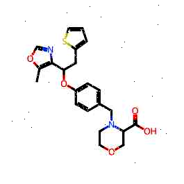 Cc1ocnc1C(Cc1cccs1)Oc1ccc(CN2CCOCC2C(=O)O)cc1